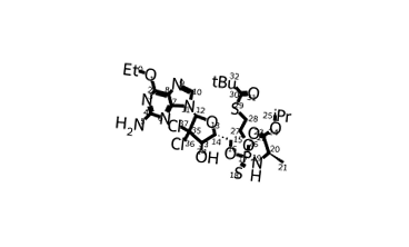 CCOc1nc(N)nc2c1ncn2[C@@H]1O[C@H](CO[P@](=S)(N[C@H](C)C(=O)OC(C)C)OCCSC(=O)C(C)(C)C)[C@@H](O)C1(Cl)Cl